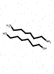 NCCCCCCN.OCCCCCCO